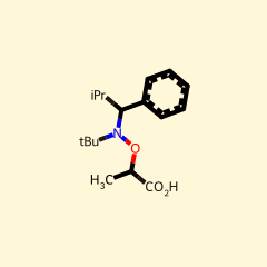 CC(ON(C(c1ccccc1)C(C)C)C(C)(C)C)C(=O)O